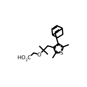 Cc1sc(C)c(C2=CC3C=CC2CC3)c1CC(C)(C)OCC(=O)O